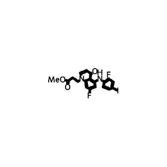 COC(=O)CCn1ccc(=O)c2c(Nc3ccc(I)cc3F)cc(F)cc21